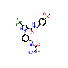 C[C@H](N)C(=O)NCc1cccc(-n2nc(C(F)(F)F)cc2C(=O)NCc2ccc(S(C)(=O)=O)cc2)c1